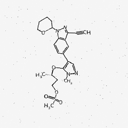 C#Cc1nn(C2CCCCO2)c2ccc(-c3cnn(C)c3O[C@@H](C)CCOS(C)(=O)=O)cc12